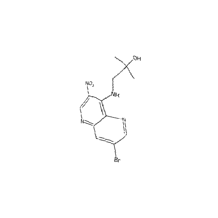 CC(C)(O)CNc1c([N+](=O)[O-])cnc2cc(Br)cnc12